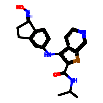 CC(C)NC(=O)c1sc2cnccc2c1Nc1ccc2c(c1)CC/C2=N\O